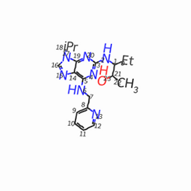 CCC(Nc1nc(NCc2ccccn2)c2ncn(C(C)C)c2n1)C(C)O